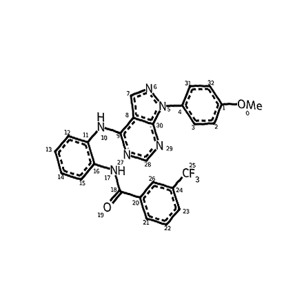 COc1ccc(-n2ncc3c(Nc4ccccc4NC(=O)c4cccc(C(F)(F)F)c4)ncnc32)cc1